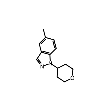 Cc1ccc2c(cnn2C2CCOCC2)c1